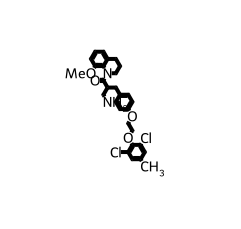 COc1cccc2c1N(C(=O)C(CN)Cc1ccc(OCCOc3c(Cl)cc(C)cc3Cl)cc1)CCC2